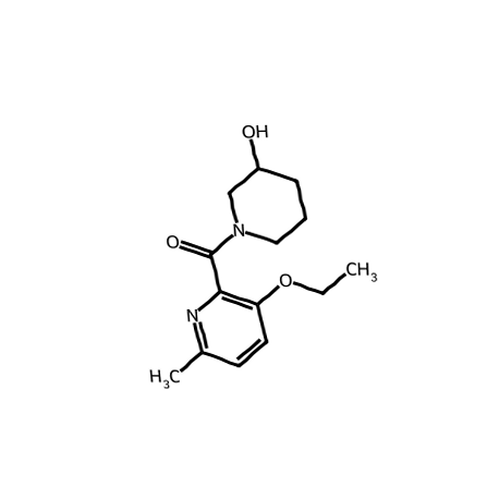 CCOc1ccc(C)nc1C(=O)N1CCCC(O)C1